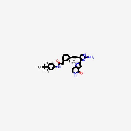 Cn1c(-c2nc(N)ncc2C#Cc2cccc(CC(=O)Nc3ccc(C(C)(C)C)cc3)c2)cc2c1CCNC2=O